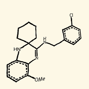 COc1cccc2c1N=C(NCc1cccc(Cl)c1)C1(CCCCC1)N2